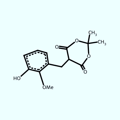 COc1c(O)cccc1CC1C(=O)OC(C)(C)OC1=O